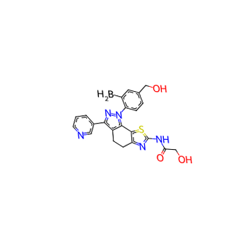 Bc1cc(CO)ccc1-n1nc(-c2cccnc2)c2c1-c1sc(NC(=O)CO)nc1CC2